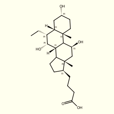 CC[C@H]1[C@@H](O)[C@H]2C3CC[C@H](CCCC(=O)O)[C@@]3(C)C[C@H](O)C2[C@@]2(C)CC[C@@H](O)C[C@@H]12